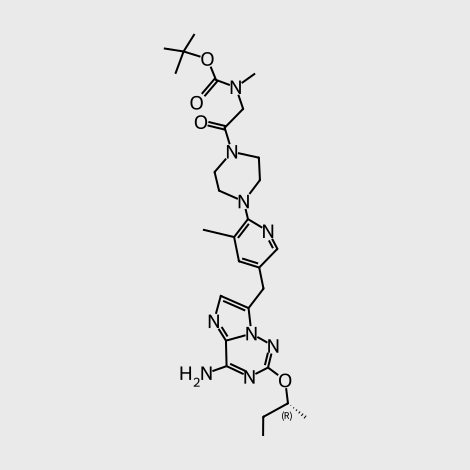 CC[C@@H](C)Oc1nc(N)c2ncc(Cc3cnc(N4CCN(C(=O)CN(C)C(=O)OC(C)(C)C)CC4)c(C)c3)n2n1